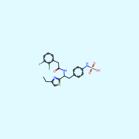 CCc1csc(C(Cc2[c]cc(NS(=O)(=O)O)cc2)NC(=O)Cc2cccc(F)c2F)n1